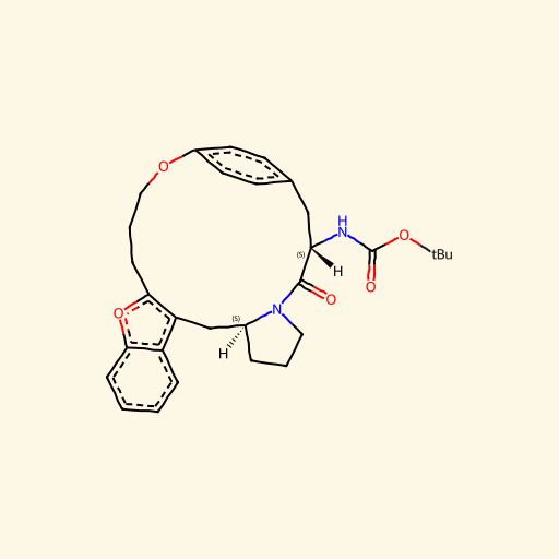 CC(C)(C)OC(=O)N[C@H]1Cc2ccc(cc2)OCCCc2oc3ccccc3c2C[C@@H]2CCCN2C1=O